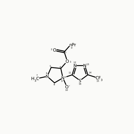 CCCC(=O)OC1CN(C)C[N+]1([O-])c1nnc(C(F)(F)F)s1